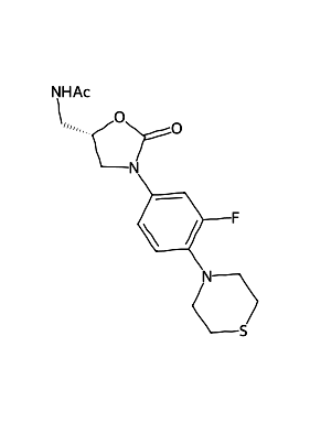 CC(=O)NC[C@H]1CN(c2ccc(N3CCSCC3)c(F)c2)C(=O)O1